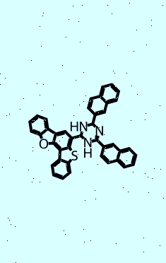 c1ccc2cc(C3=NC(c4ccc5ccccc5c4)NC(c4cc5c6ccccc6oc5c5c4sc4ccccc45)N3)ccc2c1